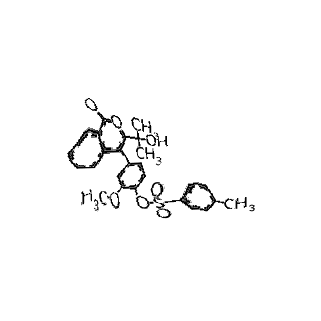 COc1cc(-c2c(C(C)(C)O)oc(=O)c3ccccc23)ccc1OS(=O)(=O)c1ccc(C)cc1